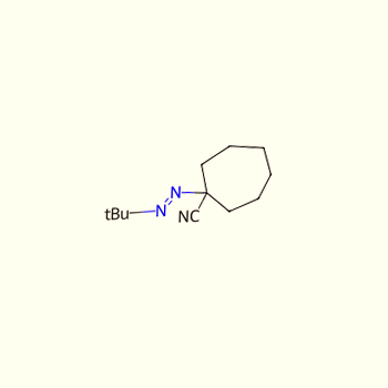 CC(C)(C)N=NC1(C#N)CCCCCC1